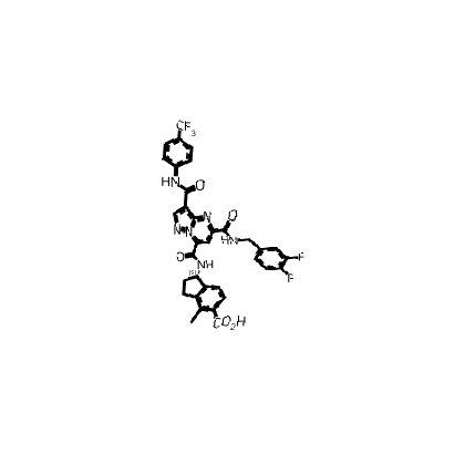 Cc1c(C(=O)O)ccc2c1CC[C@@H]2NC(=O)c1cc(C(=O)NCc2ccc(F)c(F)c2)nc2c(C(=O)Nc3ccc(C(F)(F)F)cc3)cnn12